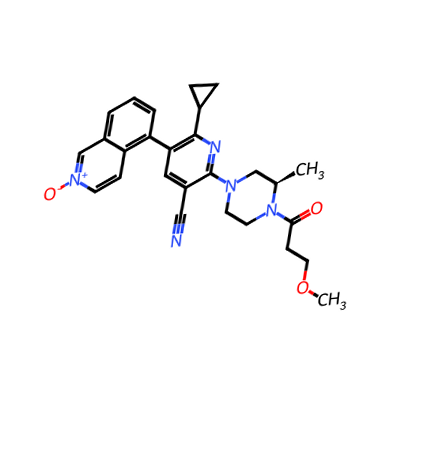 COCCC(=O)N1CCN(c2nc(C3CC3)c(-c3cccc4c[n+]([O-])ccc34)cc2C#N)C[C@H]1C